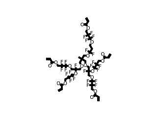 C=CC(=O)OCC(F)(F)C(F)(F)OCCC(F)(F)OCC(C)(COCC(F)(COC(F)(F)C(F)(F)COC(=O)C=C)OC(F)(F)C(F)(F)COC(=O)C=C)COCC(F)(COC(F)(F)C(F)(F)COC(=O)C=C)OC(F)(F)C(F)(F)COC(=O)C=C